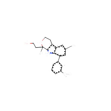 CCC1(CCO)OCCc2c1[nH]c1c(-c3cccc(C=O)c3)cc(C(C)C)cc21